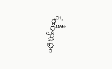 COc1cc(N2Cc3cc(-c4ncc(Cl)cn4)sc3C2=O)ccc1N1CC[C@@H](C)C1